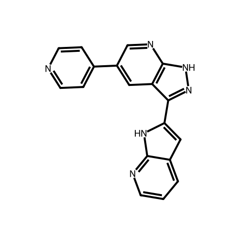 c1cnc2[nH]c(-c3n[nH]c4ncc(-c5ccncc5)cc34)cc2c1